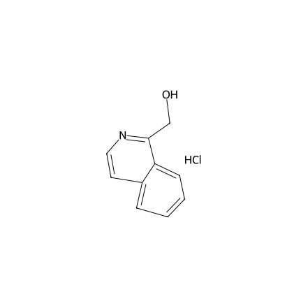 Cl.OCc1nccc2ccccc12